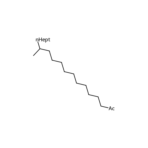 CCCCCCCC(C)CCCCCCCCCCC(C)=O